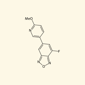 COc1ccc(-c2cc(F)c3nonc3c2)cn1